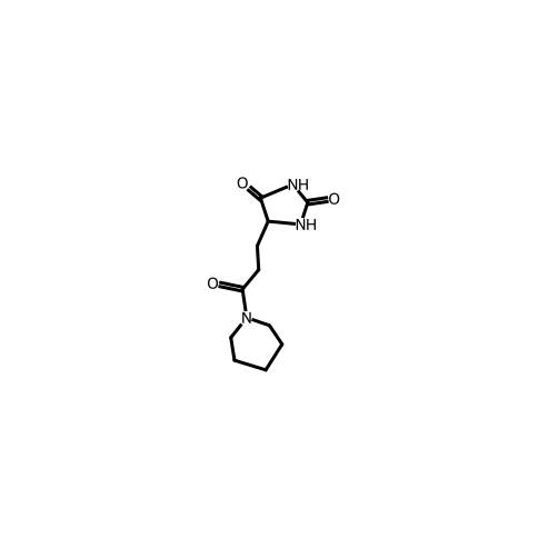 O=C1NC(=O)C(CCC(=O)N2CCCCC2)N1